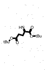 CC(C)(C)OC(=O)CCC(=N)C(=O)OC(C)(C)C